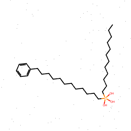 CCCCCCCCCCCCP(O)(O)(O)CCCCCCCCCCCCc1ccccc1